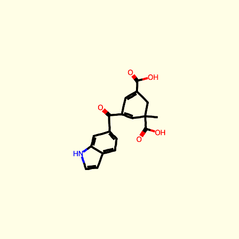 CC1(C(=O)O)C=C(C(=O)c2ccc3cc[nH]c3c2)C=C(C(=O)O)C1